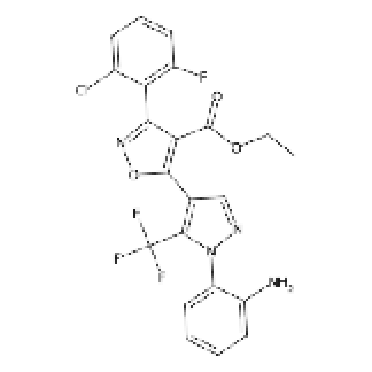 CCOC(=O)c1c(-c2c(F)cccc2Cl)noc1-c1cnn(-c2ccccc2N)c1C(F)(F)F